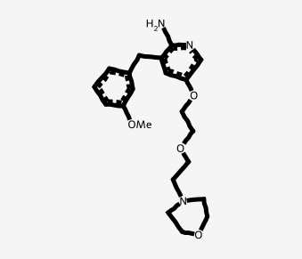 COc1cccc(Cc2cc(OCCOCCN3CCOCC3)cnc2N)c1